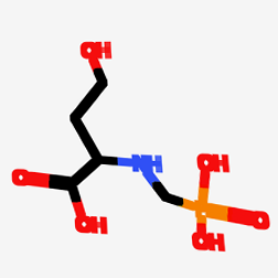 O=C(O)C(CCO)NCP(=O)(O)O